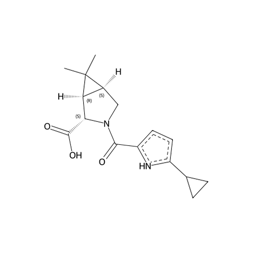 CC1(C)[C@@H]2[C@@H](C(=O)O)N(C(=O)c3ccc(C4CC4)[nH]3)C[C@@H]21